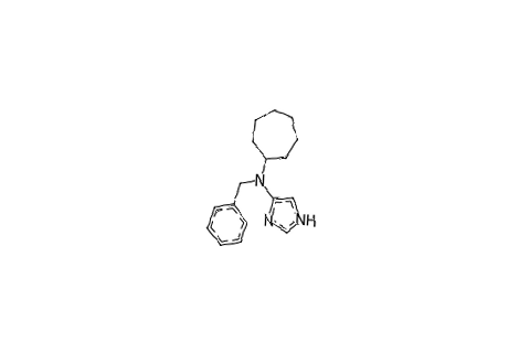 c1ccc(CN(c2c[nH]cn2)C2CCCCCC2)cc1